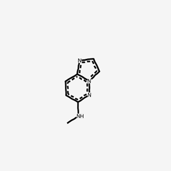 CNc1ccc2nccn2n1